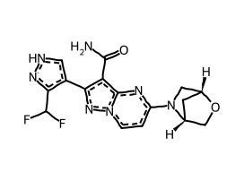 NC(=O)c1c(-c2c[nH]nc2C(F)F)nn2ccc(N3C[C@H]4C[C@@H]3CO4)nc12